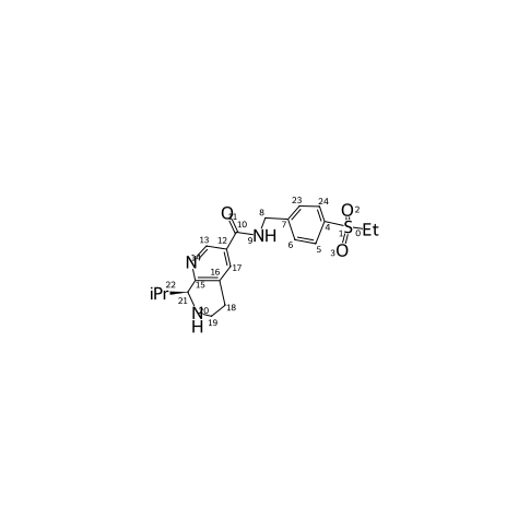 CCS(=O)(=O)c1ccc(CNC(=O)c2cnc3c(c2)CCN[C@H]3C(C)C)cc1